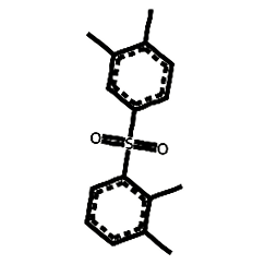 Cc1ccc(S(=O)(=O)c2cccc(C)c2C)cc1C